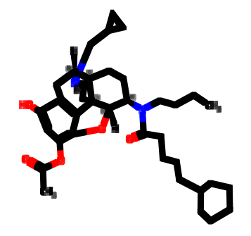 CCCCN(C(=O)CCCCC1CCCCC1)[C@@H]1CC[C@H]2[C@H]3Cc4c(O)cc(OC(C)=O)c5c4[C@@]2(CCN3CC2CC2)[C@H]1O5